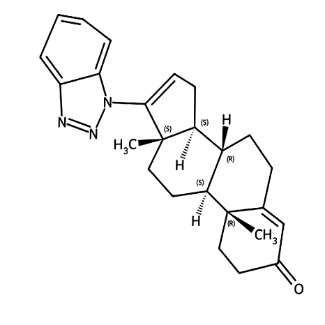 C[C@]12CCC(=O)C=C1CC[C@@H]1[C@@H]2CC[C@]2(C)C(n3nnc4ccccc43)=CC[C@@H]12